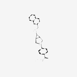 NC(=O)c1ccc(N2CC3C(C2)C3NCc2ccc3ccccc3c2)cc1